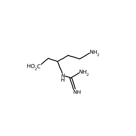 N=C(N)NC(CCN)CC(=O)O